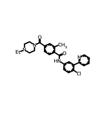 CCN1CCN(C(=O)c2ccc(C(=O)Nc3ccc(Cl)c(-c4ccccn4)c3)c(C)c2)CC1